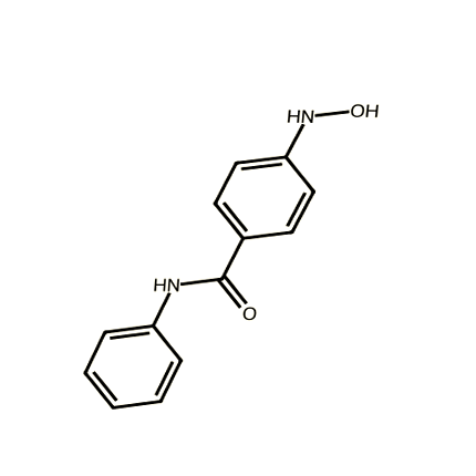 O=C(Nc1ccccc1)c1ccc(NO)cc1